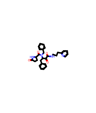 O=C1CCC(C(=O)N(Cc2ccccc2)C(Cc2ccccc2)C(=O)C(=O)NCCCc2ccccn2)N1